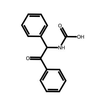 O=C(O)NC(C(=O)c1ccccc1)c1ccccc1